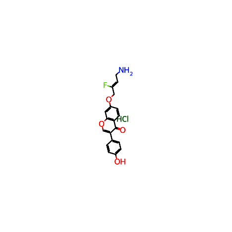 Cl.NC/C=C(\F)COc1ccc2c(=O)c(-c3ccc(O)cc3)coc2c1